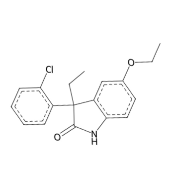 CCOc1ccc2c(c1)C(CC)(c1ccccc1Cl)C(=O)N2